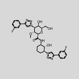 CO[C@@H]1[C@@H](n2cc(-c3cccc(F)c3)nn2)[C@@H](O)[C@@H](CO)O[C@H]1C(=O)N[C@@H]1CCC[C@H](n2cc(-c3cccc(F)c3)nn2)[C@H]1O